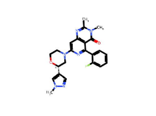 Cc1nc2cc(N3CCO[C@@H](c4cnn(C)c4)C3)nc(-c3ccccc3F)c2c(=O)n1C